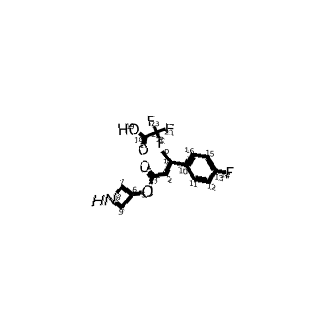 CC(CC(=O)OC1CNC1)c1ccc(F)cc1.O=C(O)C(F)(F)F